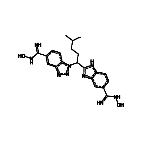 CC(C)CCC(c1nc2cc(C(=N)NO)ccc2[nH]1)n1nnc2cc(C(=N)NO)ccc21